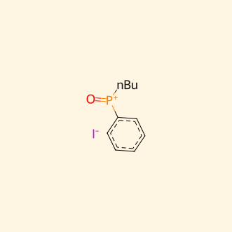 CCCC[P+](=O)c1ccccc1.[I-]